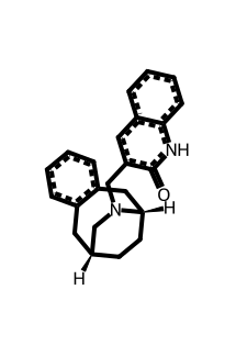 O=c1[nH]c2ccccc2cc1CN1C[C@@H]2CC[C@H]1Cc1ccccc1C2